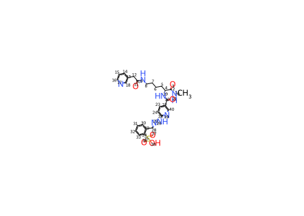 CNC(=O)C(CCCCNC(=O)Cc1cccnc1)NC(=O)c1ccc(NN=Cc2ccccc2S(=O)(=O)O)nc1